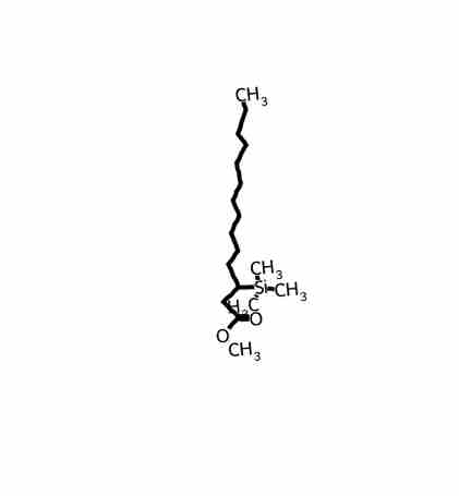 CCCCCCCCCCCC(CC(=O)OC)[Si](C)(C)C